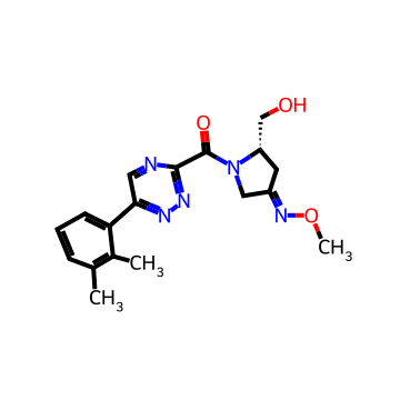 CO/N=C1\C[C@@H](CO)N(C(=O)c2ncc(-c3cccc(C)c3C)nn2)C1